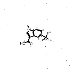 Cn1cc(C(=O)O)c2cc(C(F)(F)F)ccc21